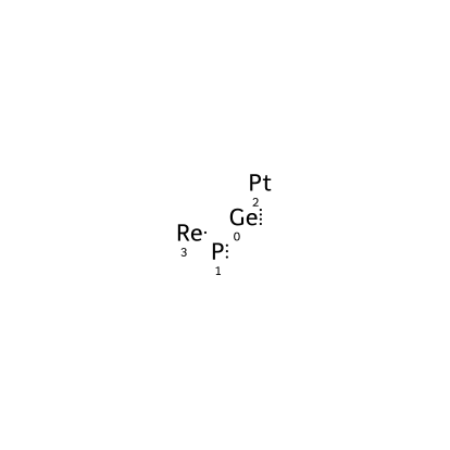 [Ge].[P].[Pt].[Re]